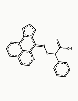 O=C(O)C(O/N=c1\c2nccc3cccc(c32)n2cccc12)c1ccccc1